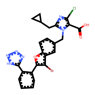 O=C(O)c1c(Cl)nc(CC2CC2)n1Cc1ccc2oc(-c3ccccc3-c3nnn[nH]3)c(Br)c2c1